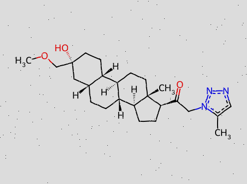 COC[C@@]1(O)CC[C@H]2[C@H](CC[C@@H]3[C@@H]2CC[C@]2(C)[C@@H](C(=O)Cn4nncc4C)CC[C@@H]32)C1